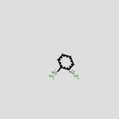 C.Cc1ccccc1.Cl.Cl